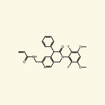 C=CC(=O)NCc1cc2c(cn1)CN(c1c(F)c(OC)cc(OC)c1F)C(=O)C2c1ccccc1